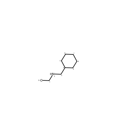 [O]CNCC1CCCCC1